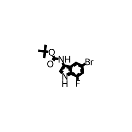 CC(C)(C)OC(=O)Nc1c[nH]c2c(F)cc(Br)cc12